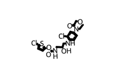 O=C(NC[C@H](O)CNc1ccc(N2CCOCC2=O)cc1Cl)Oc1ccc(Cl)s1